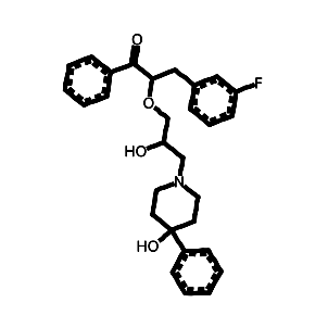 O=C(c1ccccc1)C(Cc1cccc(F)c1)OCC(O)CN1CCC(O)(c2ccccc2)CC1